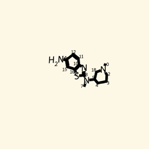 CN1CCCC(N(C)c2nc3ccc(N)cc3s2)C1